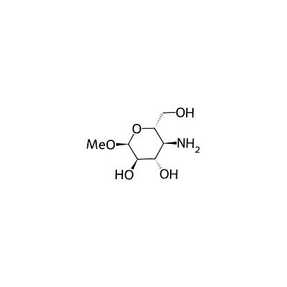 CO[C@H]1O[C@H](CO)[C@@H](N)[C@H](O)[C@H]1O